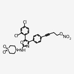 O=[N+]([O-])OCCC#Cc1ccc(-c2nc(NN3CCS(=O)(=O)CC3)oc2-c2ccc(Cl)cc2Cl)cc1